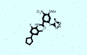 CSc1cc(Sc2nnnn2C)c(C(=O)Nc2c(F)cc(C3CCCC3)cc2F)cc1[N+](=O)[O-]